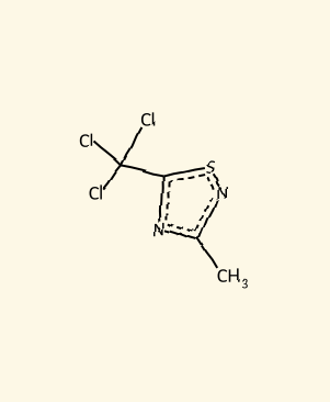 Cc1nsc(C(Cl)(Cl)Cl)n1